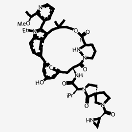 CCn1c(-c2cccnc2[C@H](C)OC)c2c3cc(ccc31)-c1cc(O)cc(c1)C[C@H](NC(=O)[C@H](C(C)C)N1CC[C@@]3(CCN(C(=O)[C@H]4CN4)C3)C1=O)C(=O)N1CCC[C@H](N1)C(=O)OCC(C)(C)C2